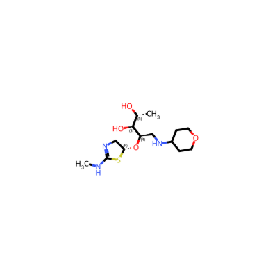 CNC1=NC[C@H](O[C@H](CNC2CCOCC2)[C@@H](O)[C@@H](C)O)S1